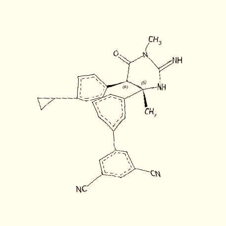 CN1C(=N)N[C@](C)(c2cccc(-c3cc(C#N)cc(C#N)c3)c2)[C@@H](c2ccc(C3CC3)cc2)C1=O